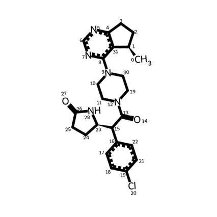 C[C@@H]1CCc2ncnc(N3CCN(C(=O)C(c4ccc(Cl)cc4)[C@H]4CCC(=O)N4)CC3)c21